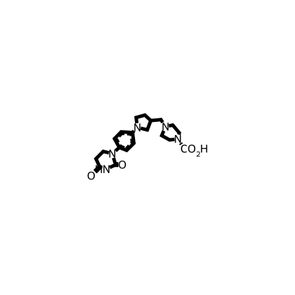 O=C1CCN(c2ccc(N3CCC(CN4CCN(C(=O)O)CC4)C3)cc2)C(=O)N1